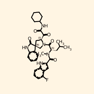 CC(C)C[C@@H](C(=O)N1C[C@]2(C[C@H]1C(=O)C(=O)NC1CCCCC1)C(=O)Nc1ccccc12)N(C)C(=O)c1cc2c(F)cccc2[nH]1